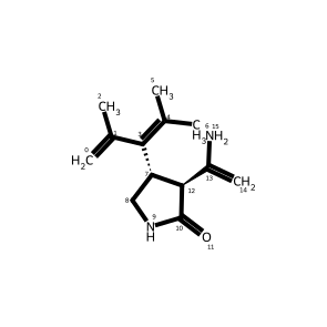 C=C(C)C(=C(C)C)[C@H]1CNC(=O)[C@@H]1C(=C)N